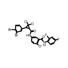 O=C(Nc1ccc(F)cc1F)c1cc(NC(=O)C2C(c3ccc(Br)c(Br)c3)C2(Cl)Cl)ccc1Cl